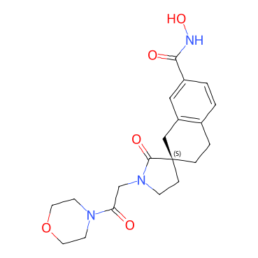 O=C(NO)c1ccc2c(c1)C[C@@]1(CC2)CCN(CC(=O)N2CCOCC2)C1=O